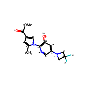 COC(=O)c1cc(C)n(-c2ncc(N3CC(F)(F)C3)cc2O)c1